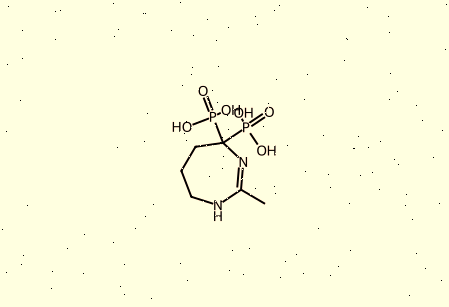 CC1=NC(P(=O)(O)O)(P(=O)(O)O)CCCN1